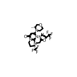 C[C@@H]1COCCN1c1cc(=O)n2c(n1)N(Cc1nnc(C(F)(F)F)o1)[C@H](C(F)(F)F)CC2